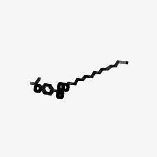 [CH2]CCCCCCCCCCCCCOOC(=O)c1ccc(OC(C)C)cc1